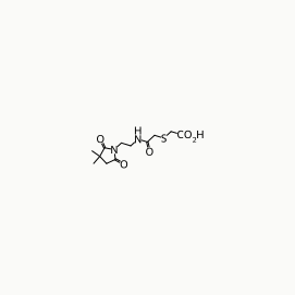 CC1(C)CC(=O)N(CCNC(=O)CSCC(=O)O)C1=O